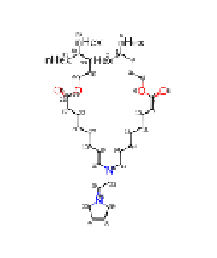 CCCCCCC(CCCCCC)CCCOC(=O)CCCCCCCN(CCCCCCCC(=O)OCCCC(CCCCCC)CCCCCC)CCN1CCCC1